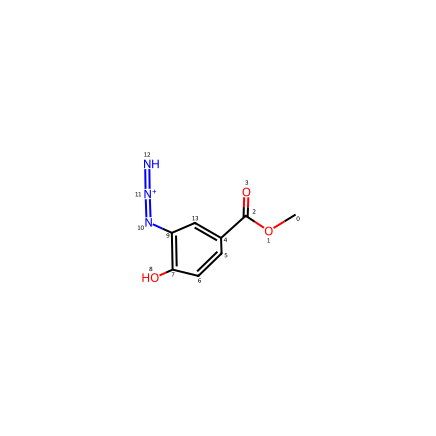 COC(=O)c1ccc(O)c(N=[N+]=N)c1